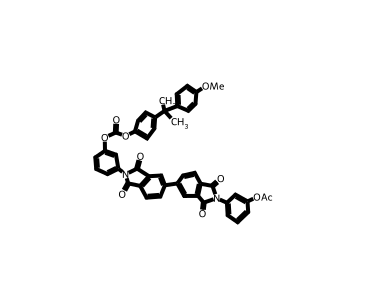 COc1ccc(C(C)(C)c2ccc(OC(=O)Oc3cccc(N4C(=O)c5ccc(-c6ccc7c(c6)C(=O)N(c6cccc(OC(C)=O)c6)C7=O)cc5C4=O)c3)cc2)cc1